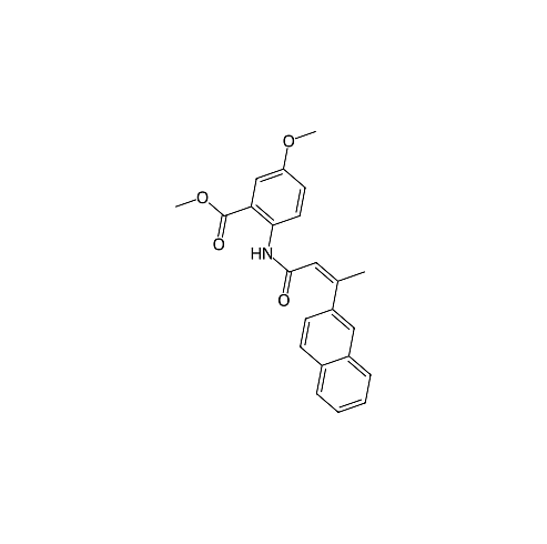 COC(=O)c1cc(OC)ccc1NC(=O)/C=C(/C)c1ccc2ccccc2c1